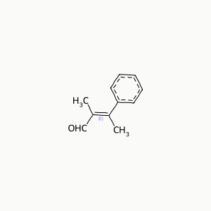 C/C(C=O)=C(/C)c1ccccc1